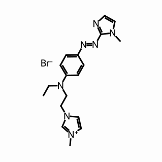 CCN(CCn1cc[n+](C)c1)c1ccc(N=Nc2nccn2C)cc1.[Br-]